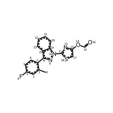 Cc1cc(F)ccc1-c1nn(-c2nc(OC=O)cs2)c2ccccc12